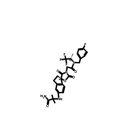 C[C@H](N(Cc1ccc(F)cc1)C(=O)CN1C(=O)O[C@@]2(CCc3cc(NC(C)(C)C(N)=O)ccc32)C1=O)C(F)(F)F